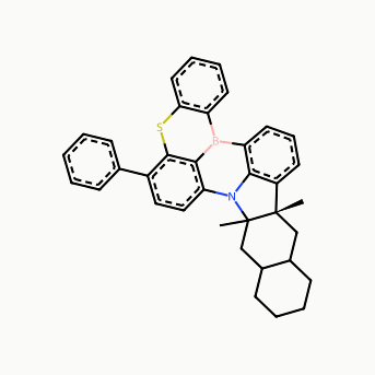 CC12CC3CCCCC3C[C@@]1(C)c1cccc3c1N2c1ccc(-c2ccccc2)c2c1B3c1ccccc1S2